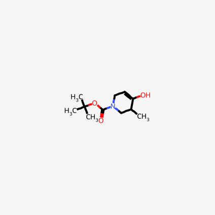 CC1CN(C(=O)OC(C)(C)C)CC=C1O